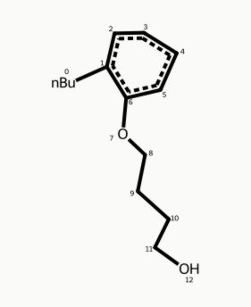 CCCCc1ccccc1OCCCCO